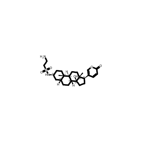 C[C@]12CC[C@H](NS(=O)(=O)CCN)C[C@H]1CC[C@@H]1[C@@H]2CC[C@]2(C)[C@@H](c3ccc(=O)oc3)CC[C@]12O